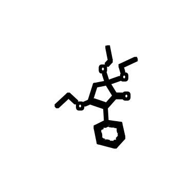 CCOC1=C(c2ccccc2)C(=O)C(OCC)(OCC)C1